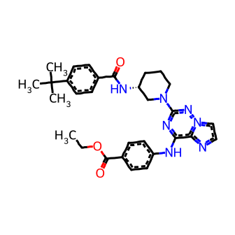 CCOC(=O)c1ccc(Nc2nc(N3CCC[C@@H](NC(=O)c4ccc(C(C)(C)C)cc4)C3)nn3ccnc23)cc1